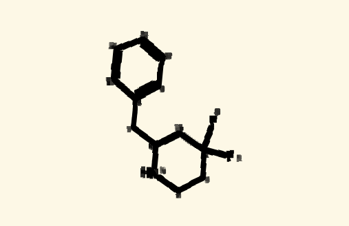 FC1(F)CCNC(Cc2ccccc2)C1